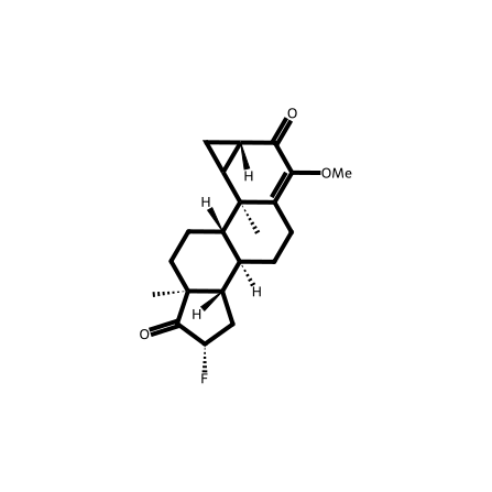 COC1=C2CC[C@H]3[C@@H]4C[C@H](F)C(=O)[C@@]4(C)CC[C@@H]3[C@@]2(C)C2C[C@@H]2C1=O